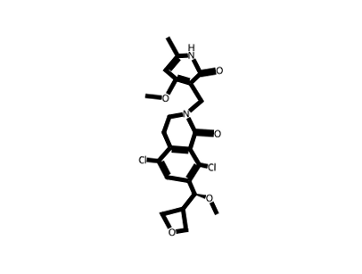 COc1cc(C)[nH]c(=O)c1CN1CCc2c(Cl)cc([C@@H](OC)C3COC3)c(Cl)c2C1=O